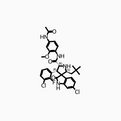 COc1cc(NC(C)=O)ccc1NC(=O)[C@@H]1N[C@@H](CC(C)(C)C)C2(C(=O)Nc3cc(Cl)ccc32)[C@@H]1c1cccc(Cl)c1F